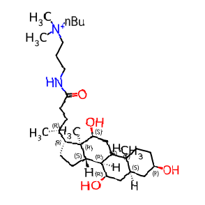 CCCC[N+](C)(C)CCCNC(=O)CC[C@@H](C)[C@H]1CC[C@H]2[C@@H]3[C@H](O)C[C@@H]4C[C@H](O)CC[C@]4(C)[C@H]3C[C@H](O)[C@]12C